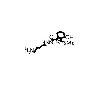 CSc1sc(C(=O)NNCCCCCN)c2c1C(O)CCC2